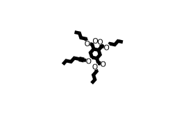 CCCCC#COC1CC(C(=O)OCCCC)C(C(=O)OCCCC)CC1C(=O)OCCCC